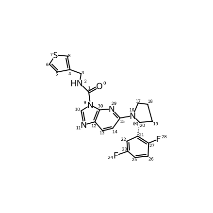 O=C(NCc1ccsc1)n1cnc2ccc(N3CCC[C@@H]3c3cc(F)ccc3F)nc21